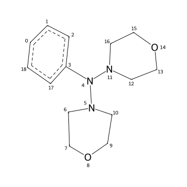 c1ccc(N(N2CCOCC2)N2CCOCC2)cc1